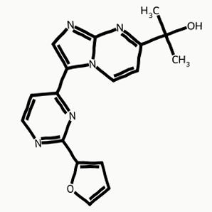 CC(C)(O)c1ccn2c(-c3ccnc(-c4ccco4)n3)cnc2n1